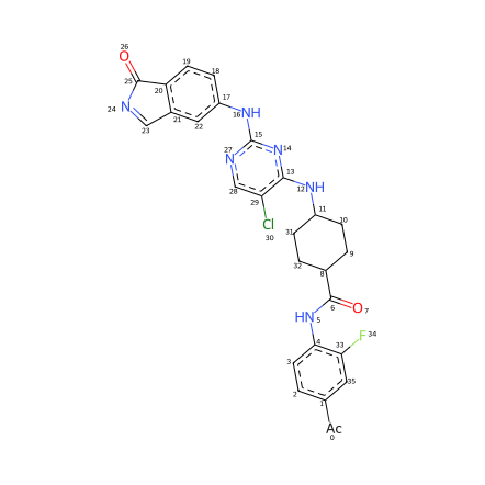 CC(=O)c1ccc(NC(=O)C2CCC(Nc3nc(Nc4ccc5c(c4)C=NC5=O)ncc3Cl)CC2)c(F)c1